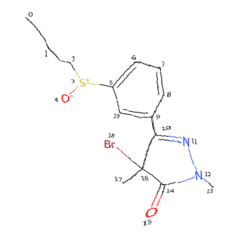 CCC[S+]([O-])c1cccc(C2=NN(C)C(=O)C2(C)Br)c1